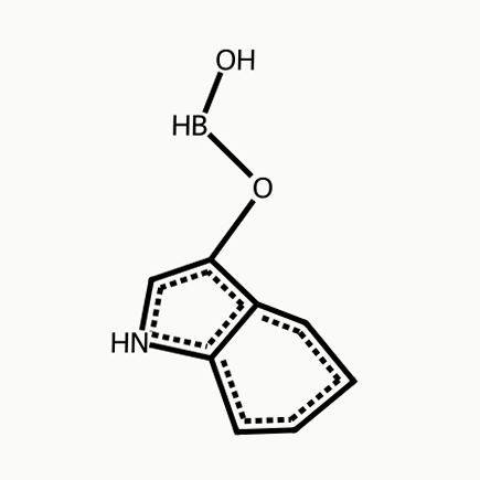 OBOc1c[nH]c2ccccc12